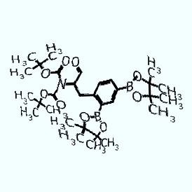 CC(C)(C)OC(=O)N(C(=O)OC(C)(C)C)C(C=O)Cc1ccc(B2OC(C)(C)C(C)(C)O2)cc1B1OC(C)(C)C(C)(C)O1